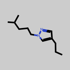 CCCc1cnn(CCCC(C)C)c1